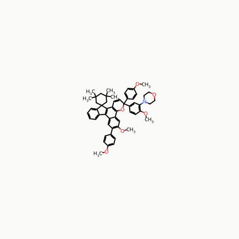 COc1ccc(-c2cc3c4c(c5c(c3cc2OC)OC(c2ccc(OC)cc2)(c2ccc(OC)c(N3CCOCC3)c2)C=C5)C2(CC(C)(C)CC(C)(C)C2)c2ccccc2-4)cc1